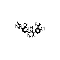 COc1nc(C2=NO[C@@H](C)[C@@H](c3ccc(Cl)c(C(F)F)c3)N2)ccc1-n1cnc(C)c1